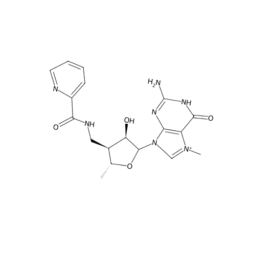 C[C@H]1OC(n2c[n+](C)c3c(=O)[nH]c(N)nc32)[C@H](O)[C@@H]1CNC(=O)c1ccccn1